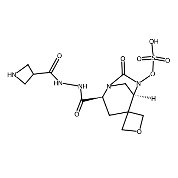 O=C(NNC(=O)[C@@H]1CC2(COC2)[C@H]2CN1C(=O)N2OS(=O)(=O)O)C1CNC1